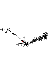 O=C(O)CCCCCCCCCCCCCCCCC(=O)NCC[C@H](C(=O)O)C(=O)NCCOCCOCC(=O)NCCOCCOC(C(=O)O)N1C(=O)CCC1=O